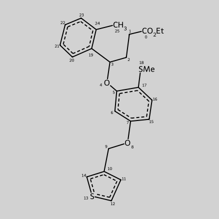 CCOC(=O)CCC(Oc1cc(OCc2ccsc2)ccc1SC)c1ccccc1C